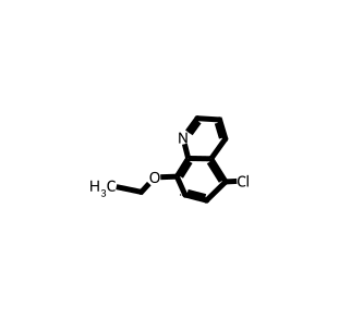 CCOc1[c]cc(Cl)c2cccnc12